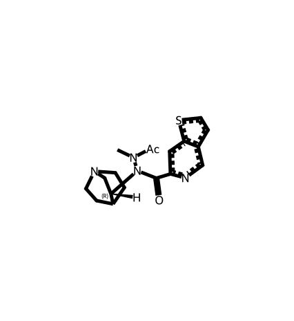 CC(=O)N(C)N(C(=O)c1cc2sccc2cn1)[C@H]1CN2CCC1CC2